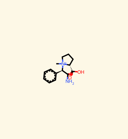 C[N+]1([C@@H](C(N)=O)c2ccccc2)CCC[C@@H]1C(=O)O